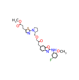 COC(=O)CCc1cnc(N2CCC[C@H]2COCC(=O)Cc2ccc3nc(Nc4cc(F)ccc4OC)oc3c2)s1